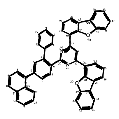 c1ccc(-c2cc(-c3cccc4ccccc34)ccc2-c2nc(-c3cccc4c3oc3ccccc34)cc(-c3cccc4c3oc3ccccc34)n2)cc1